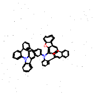 c1cc(-c2ccc(N(c3ccccc3-c3ccc4ccccc4c3)c3cccc4c3oc3ccccc34)cc2)cc(-c2ccccc2-n2c3ccccc3c3ccccc32)c1